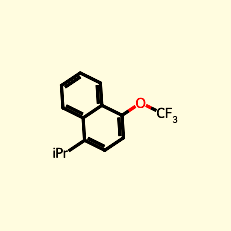 CC(C)c1ccc(OC(F)(F)F)c2ccccc12